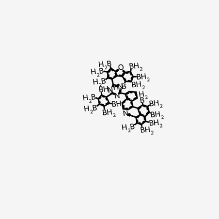 Bc1c(B)c(B)c(-c2nc(-c3cccc4c(-c5c(B)c(B)c(B)c6c(B)c(B)c(B)c(C#N)c56)cccc34)nc(-c3c(B)c(B)c(B)c4oc5c(B)c(B)c(B)c(B)c5c34)n2)c(B)c1B